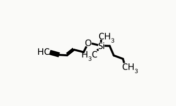 C#CC=CCO[Si](C)(C)CCCC